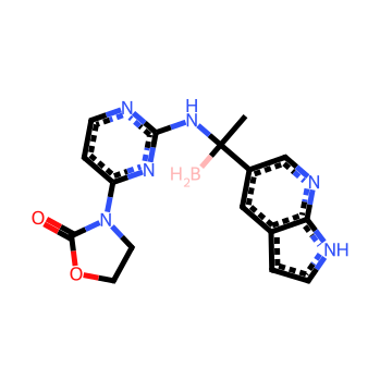 BC(C)(Nc1nccc(N2CCOC2=O)n1)c1cnc2[nH]ccc2c1